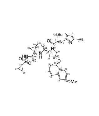 CCc1csc(N[C@H](C(=O)N2C[C@H](Oc3nccc4cc(OC)ccc34)C[C@H]2C(=O)N[C@]2(C(=O)NS(=O)(=O)C3CC3)C[C@H]2I)C(C)(C)C)n1